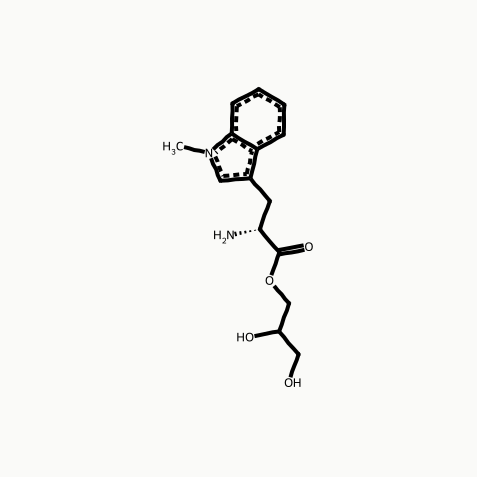 Cn1cc(C[C@@H](N)C(=O)OCC(O)CO)c2ccccc21